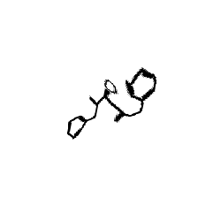 CC(Cc1ccccc1)C(=O)C(C)Cc1ccccc1